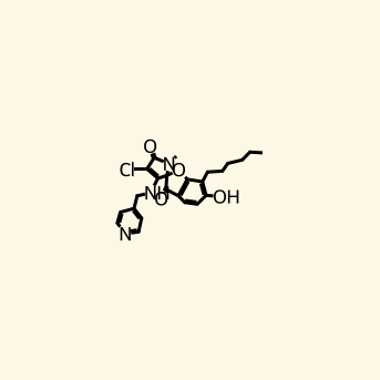 CCCCCCc1c(O)ccc2c1OC1(C2=O)C(NCc2ccncc2)=C(Cl)C(=O)N1C